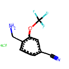 Cl.N#Cc1ccc(CN)c(OC(F)(F)F)c1